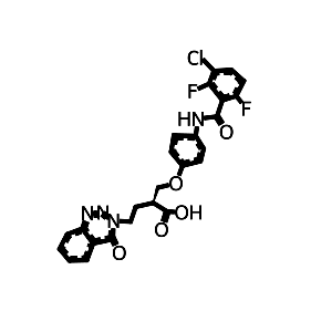 O=C(Nc1ccc(OC[C@H](CCn2nnc3ccccc3c2=O)C(=O)O)cc1)c1c(F)ccc(Cl)c1F